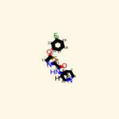 O=C(N[C@H]1CN2CCC1CC2)c1ncc(Oc2cccc(F)c2)s1